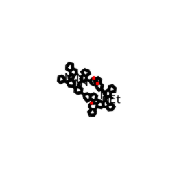 CCc1c(-n2c3ccccc3c3cc4c5c(c32)-c2ccc3cc(-c6ccc7c8cc9c%10ccccc%10n%10c%11c%12ccccc%12ccc%11c(c8n(-c8nc(-c%11ccccc%11)c%11ccccc%11n8)c7c6)c9%10)ccc3c2C(CC5)c2ccccc2-4)nc(-c2ccc3ccccc3c2)c2ccccc12